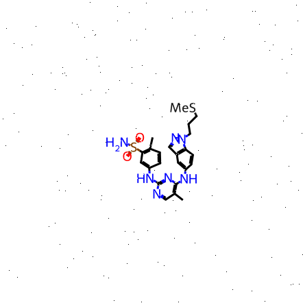 CSCCCn1ncc2cc(Nc3nc(Nc4ccc(C)c(S(N)(=O)=O)c4)ncc3C)ccc21